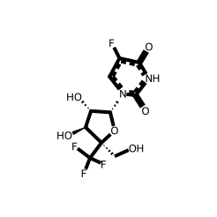 O=c1[nH]c(=O)n([C@@H]2O[C@@](CO)(C(F)(F)F)[C@@H](O)[C@@H]2O)cc1F